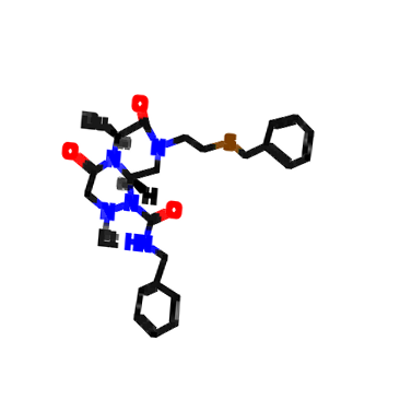 CCC(C)[C@H]1C(=O)N(CCSCc2ccccc2)C[C@H]2N1C(=O)CN(CC)N2C(=O)NCc1ccccc1